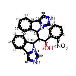 O=[N+]([O-])c1ccccc1C(O)C(C1c2ccccc2-c2cncn21)C1c2ccccc2-c2cncn21